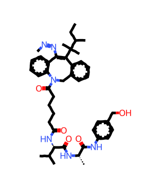 CCC(C)C(C)(C)/C1=C(\N=N/C)c2ccccc2N(C(=O)CCCCC(=O)N[C@H](C(=O)N[C@@H](C)C(=O)Nc2ccc(CO)cc2)C(C)C)Cc2ccccc21